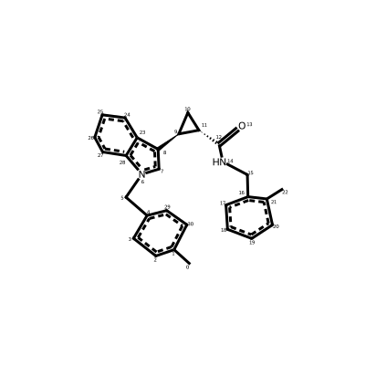 Cc1ccc(Cn2cc([C@H]3C[C@@H]3C(=O)NCc3ccccc3C)c3ccccc32)cc1